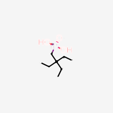 CCC(CC)(CC)CP(=O)(O)O